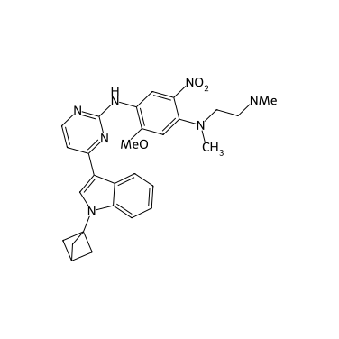 CNCCN(C)c1cc(OC)c(Nc2nccc(-c3cn(C45CC(C4)C5)c4ccccc34)n2)cc1[N+](=O)[O-]